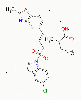 CCC(C)C(=O)O.Cc1nc2cc(C=CCS(=O)(=O)n3ccc4cc(Cl)ccc43)ccc2s1